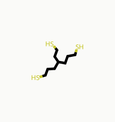 SCCCC(CCS)CCCS